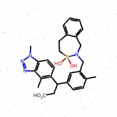 Cc1ccc(C(CC(=O)O)c2ccc3c(nnn3C)c2C)cc1CN1Cc2ccccc2CCS1(O)O